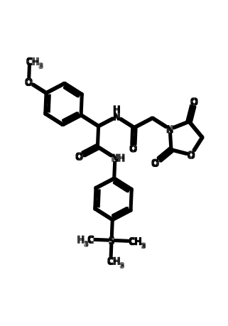 COc1ccc(C(NC(=O)CN2C(=O)COC2=O)C(=O)Nc2ccc(S(C)(C)C)cc2)cc1